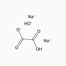 O=C([O-])C(=O)O.[Na+].[Na+].[OH-]